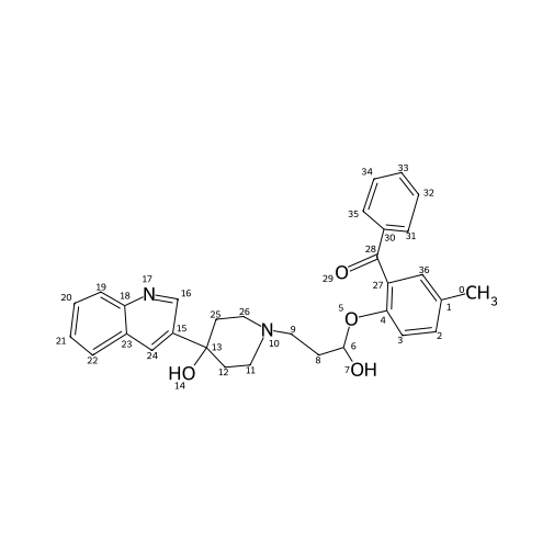 Cc1ccc(OC(O)CCN2CCC(O)(c3cnc4ccccc4c3)CC2)c(C(=O)c2ccccc2)c1